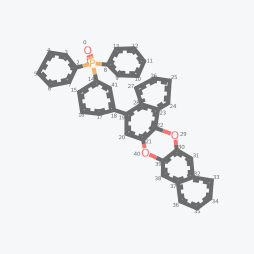 O=P(c1ccccc1)(c1ccccc1)c1cccc(-c2cc3c(c4ccccc24)Oc2cc4ccccc4cc2O3)c1